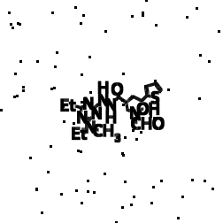 CCc1nc(NNC(=O)[C@@H](CCc2cccs2)CN(O)C=O)nc(N(C)CC)n1